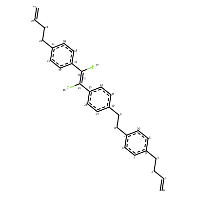 C=CCCc1ccc(CCc2ccc(/C(F)=C(\F)c3ccc(CCC=C)cc3)cc2)cc1